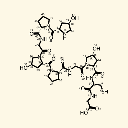 O=C(O)CNC(=O)[C@H](CS)NC(=O)[C@@H]1C[C@@H](O)CN1C(=O)CNC(=O)[C@@H]1CCCN1C(=O)[C@@H]1C[C@@H](O)CN1C(=O)CNC(=O)[C@@H]1CCCN1C(=O)[C@@H]1C[C@@H](O)CN1